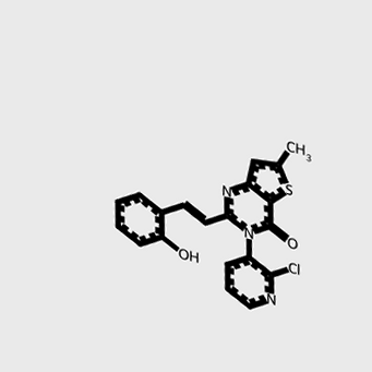 Cc1cc2nc(C=Cc3ccccc3O)n(-c3cccnc3Cl)c(=O)c2s1